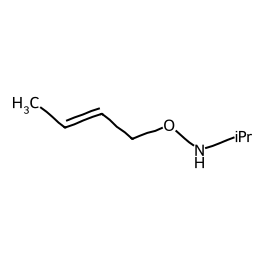 CC=CCONC(C)C